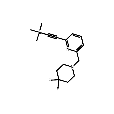 C[Si](C)(C)C#Cc1cccc(CN2CCC(F)(F)CC2)n1